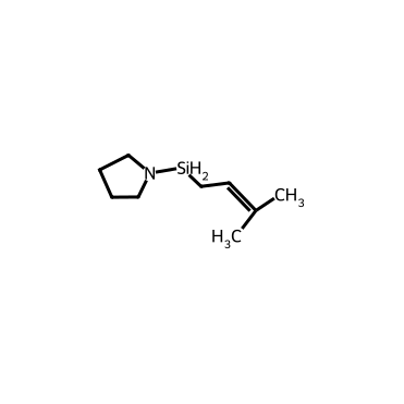 CC(C)=CC[SiH2]N1CCCC1